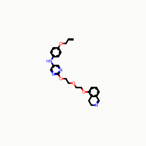 C=CCOc1ccc(Nc2cnc(OCCOCCOc3cccc4c3CCN=C4)nc2)cc1